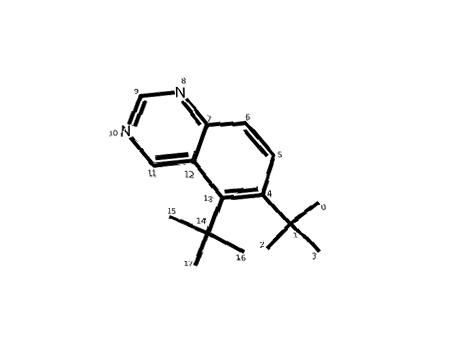 CC(C)(C)c1ccc2ncncc2c1C(C)(C)C